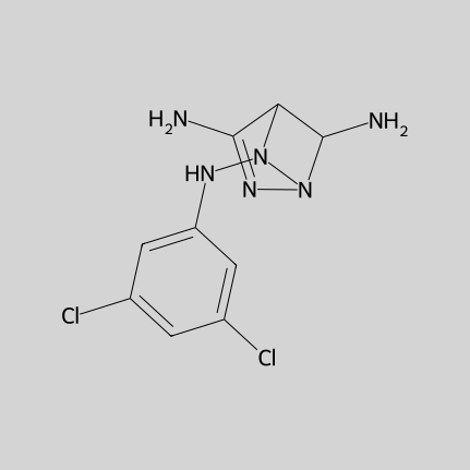 NC1=NN2C(N)C1N2Nc1cc(Cl)cc(Cl)c1